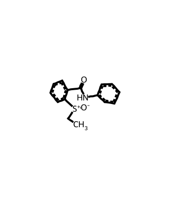 CC[S+]([O-])c1ccccc1C(=O)Nc1ccccc1